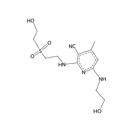 Cc1cc(NCCO)nc(NCCS(=O)(=O)CCO)c1C#N